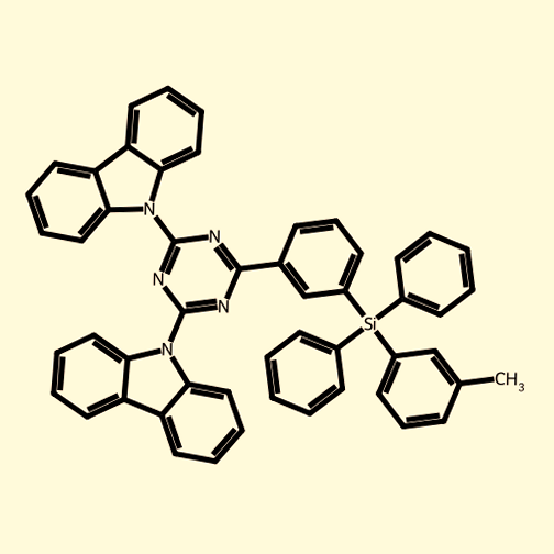 Cc1cccc([Si](c2ccccc2)(c2ccccc2)c2cccc(-c3nc(-n4c5ccccc5c5ccccc54)nc(-n4c5ccccc5c5ccccc54)n3)c2)c1